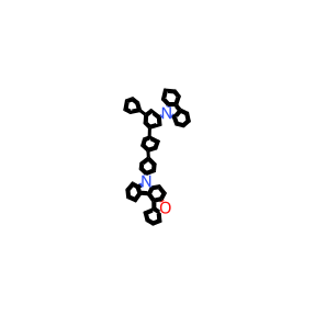 c1ccc(-c2cc(-c3ccc(-c4ccc(-n5c6ccccc6c6c7c(ccc65)oc5ccccc57)cc4)cc3)cc(-n3c4ccccc4c4ccccc43)c2)cc1